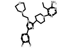 CCc1c(N)ncnc1N1CCC(c2nc(-c3ccc(F)c(F)c3)cn2CCN2CCOCC2)CC1